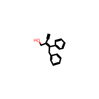 C#C/C(CO)=C(/Cc1ccccc1)c1ccccc1